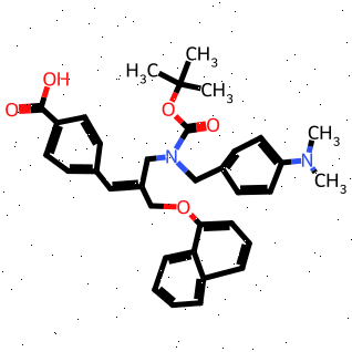 CN(C)c1ccc(CN(C/C(=C\c2ccc(C(=O)O)cc2)COc2cccc3ccccc23)C(=O)OC(C)(C)C)cc1